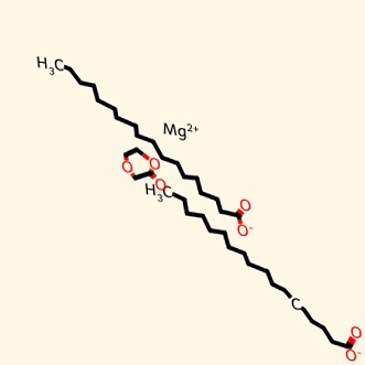 CCCCCCCCCCCCCCCCCC(=O)[O-].CCCCCCCCCCCCCCCCCC(=O)[O-].O=C1COCCO1.[Mg+2]